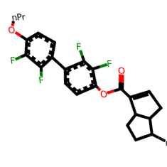 CCCOc1ccc(-c2ccc(OC(=O)C3=CCC4C(CCC)CCC34)c(F)c2F)c(F)c1F